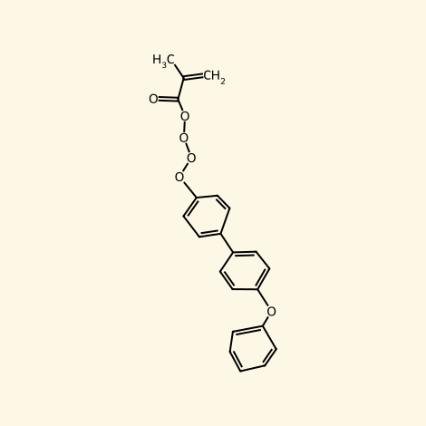 C=C(C)C(=O)OOOOc1ccc(-c2ccc(Oc3ccccc3)cc2)cc1